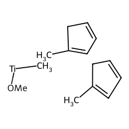 CC1=CC=CC1.CC1=CC=CC1.C[O][Ti][CH3]